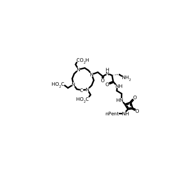 CCCCCNc1c(NCCNC(=O)[C@@H](CN)NC(=O)CN2CCN(CC(=O)O)CCN(CC(=O)O)CCN(CC(=O)O)CC2)c(=O)c1=O